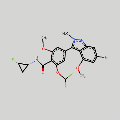 COc1cc(-c2c3c(OC)cc(Br)cc3nn2C)cc(OC(F)F)c1C(=O)N[C@@H]1C[C@@H]1F